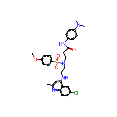 COc1ccc(S(=O)(=O)N(CCNc2cc(C)nc3ccc(Cl)cc23)CCC(=O)Nc2ccc(N(C)C)cc2)cc1